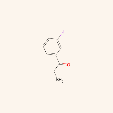 BCC(=O)c1cccc(I)c1